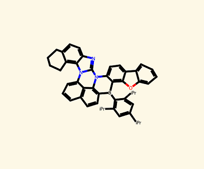 CC(C)c1cc(C(C)C)c(B2c3c(ccc4c3oc3ccccc34)-n3c4c2ccc2cccc(c24)n2c4c5c(ccc4nc32)CCCC5)c(C(C)C)c1